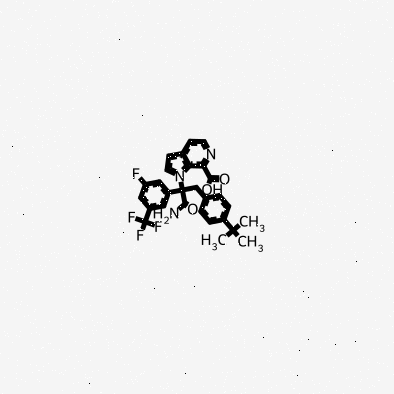 CC(C)(C)c1ccc(CC(C(N)=O)(c2cc(F)cc(C(F)(F)F)c2)n2ccc3ccnc(C(=O)O)c32)cc1